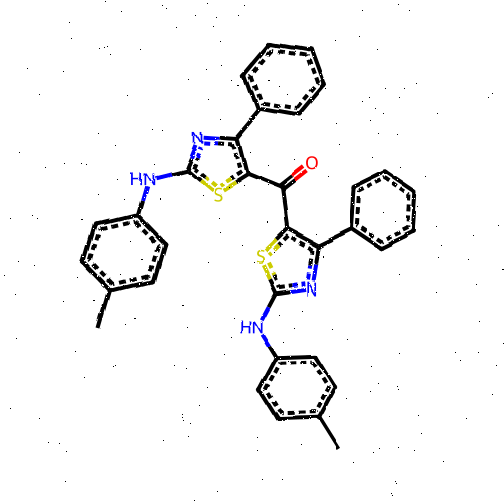 Cc1ccc(Nc2nc(-c3ccccc3)c(C(=O)c3sc(Nc4ccc(C)cc4)nc3-c3ccccc3)s2)cc1